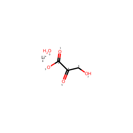 O.O=C([O-])C(=O)CO.[Li+]